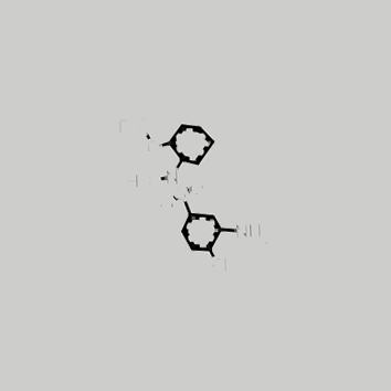 CN(c1ccccc1OC(F)(F)F)S(=O)(=O)c1ccc(Cl)c(N)c1